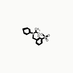 CC(O)N(Cc1cccc(S(=O)(=O)Cl)c1)c1ccccc1